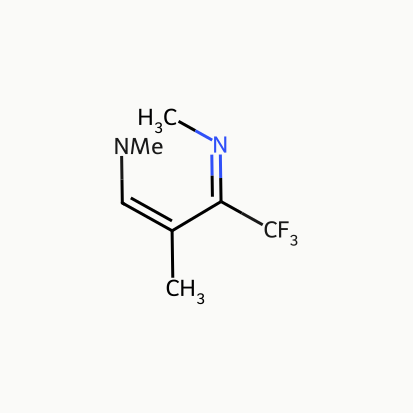 C/N=C(\C(C)=C/NC)C(F)(F)F